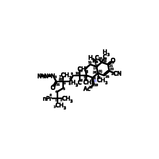 CCCC(C)(C)CC[C@@](C)(CCC(C)(C)[C@]1(C)CC[C@H]2C(C)(C)C(=O)C(C#N)=C[C@]2(C)/C1=C/C(C)=O)C(=O)N=[N+]=[N-]